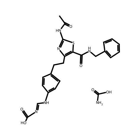 CC(=O)Nc1nc(CCc2ccc(NC=NC(=O)O)cc2)c(C(=O)NCc2ccccc2)s1.NC(=O)O